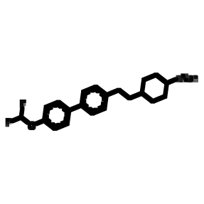 CCCCCCCCCC1CCC(CCc2ccc(-c3ccc(OC(F)F)cc3)cc2)CC1